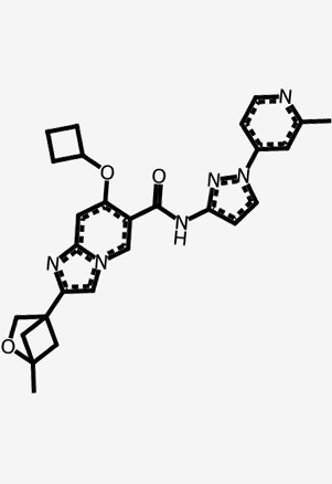 Cc1cc(-n2ccc(NC(=O)c3cn4cc(C56COC(C)(C5)C6)nc4cc3OC3CCC3)n2)ccn1